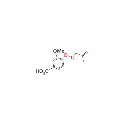 C=C(C)COOc1ccc(C(=O)O)cc1OC